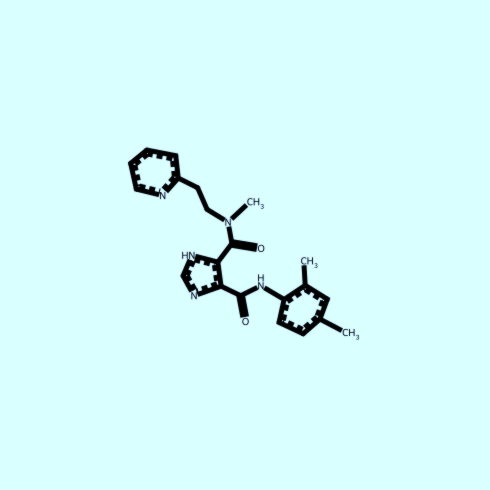 Cc1ccc(NC(=O)c2nc[nH]c2C(=O)N(C)CCc2ccccn2)c(C)c1